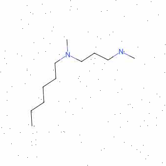 [CH2]CCCCCN(C)CCC[N]C